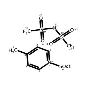 CCCCCCCC[n+]1ccc(C)cc1.O=S(=O)([N-]S(=O)(=O)C(F)(F)F)C(F)(F)F